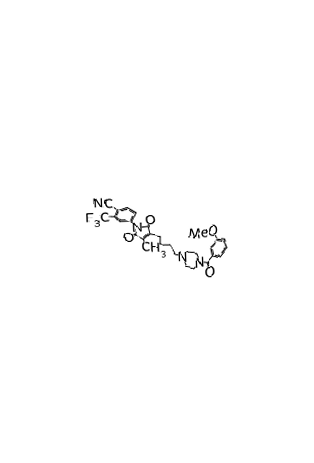 COc1cccc(C(=O)N2CCN(CCCCC3=C(C)C(=O)N(c4ccc(C#N)c(C(F)(F)F)c4)C3=O)CC2)c1